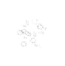 CC1CNC(=O)c2cnn3c(N(Cc4ccccc4)Cc4ccccc4)c(-c4ccc(N)cc4)c(nc23)NC(C)c2cc(F)cnc2O1